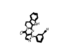 N#Cc1cccc(-n2ncc3c(=O)n4c(nc32)-c2[nH]c3ccccc3c2CC4)c1